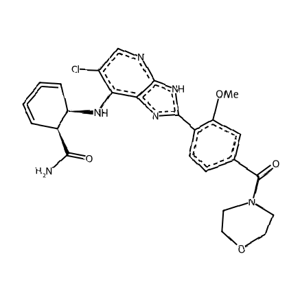 COc1cc(C(=O)N2CCOCC2)ccc1-c1nc2c(N[C@@H]3C=C=C=C[C@@H]3C(N)=O)c(Cl)cnc2[nH]1